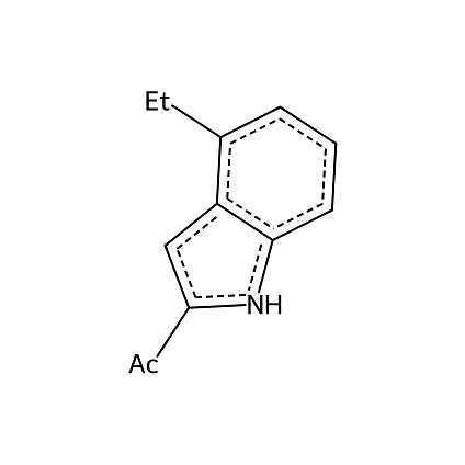 CCc1cccc2[nH]c(C(C)=O)cc12